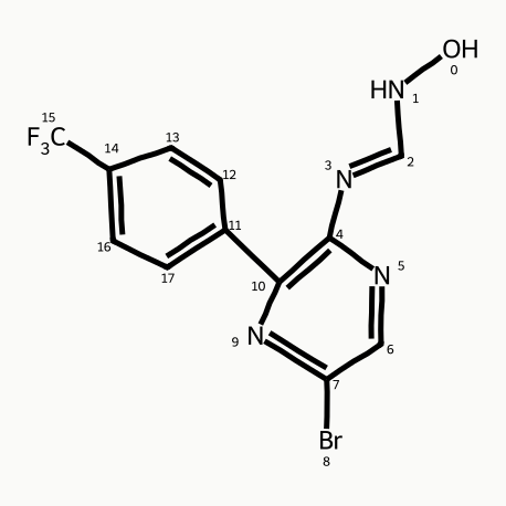 ON/C=N/c1ncc(Br)nc1-c1ccc(C(F)(F)F)cc1